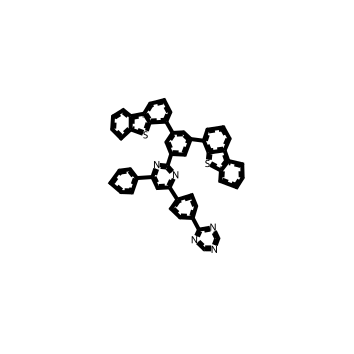 c1ccc(-c2cc(-c3ccc(-c4ncncn4)cc3)nc(-c3cc(-c4cccc5c4sc4ccccc45)cc(-c4cccc5c4sc4ccccc45)c3)n2)cc1